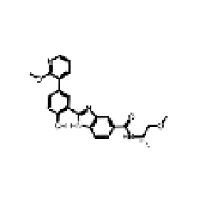 COC[C@H](C)NC(=O)c1ccc2[nH]c(-c3cc(-c4cccnc4OC)ccc3O)nc2c1